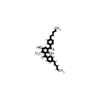 CCCCCc1ccc(C(=O)c2cc(O)c(C)c(C(=O)c3ccc(CCCCC)cc3)c2O)cc1